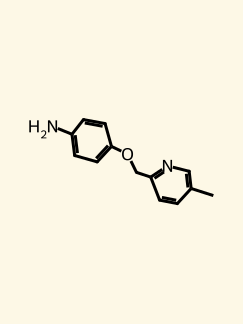 Cc1ccc(COc2ccc(N)cc2)nc1